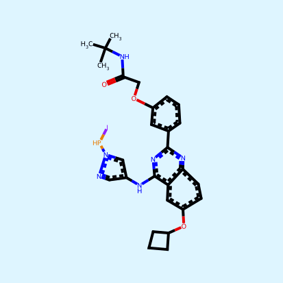 CC(C)(C)NC(=O)COc1cccc(-c2nc(Nc3cnn(PI)c3)c3cc(OC4CCC4)ccc3n2)c1